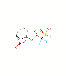 O=C1OC2(OC(=O)C(F)(F)S(=O)(=O)O)CCCC1C2